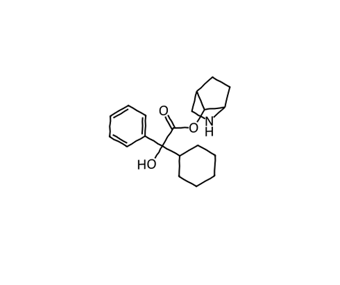 O=C(OC1C2CCC1NC2)C(O)(c1ccccc1)C1CCCCC1